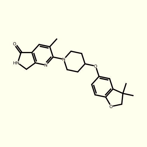 Cc1cc2c(nc1N1CCC(Oc3ccc4c(c3)C(C)(C)CO4)CC1)CNC2=O